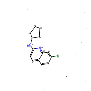 Brc1ccc2ccc(NC3CCCC3)nc2c1